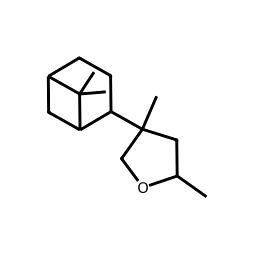 CC1CC(C)(C2CCC3CC2C3(C)C)CO1